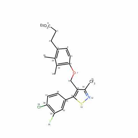 CCOC(=O)CCc1ccc(OCc2c(C(F)(F)F)nsc2-c2ccc(Cl)c(F)c2)c(C)c1C